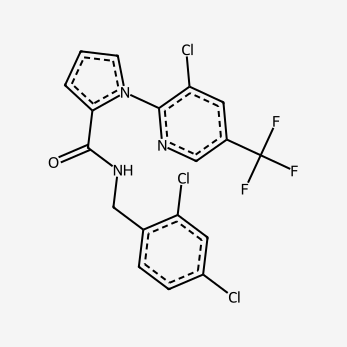 O=C(NCc1ccc(Cl)cc1Cl)c1cccn1-c1ncc(C(F)(F)F)cc1Cl